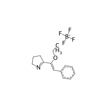 CCOC(=Cc1ccccc1)C1=NCCC1.F[B-](F)(F)F